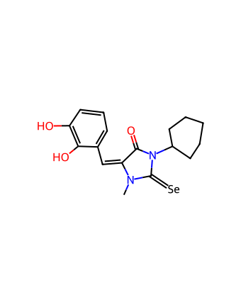 CN1C(=[Se])N(C2CCCCC2)C(=O)C1=Cc1cccc(O)c1O